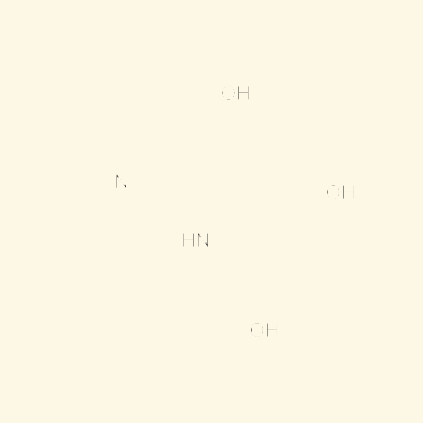 CC(CO)NCCO.CN(C)CCO